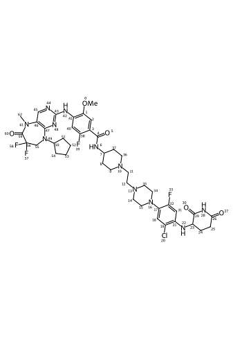 COc1cc(C(=O)NC2CCN(CCN3CCN(c4cc(Cl)c(NC5CCC(=O)NC5=O)cc4F)CC3)CC2)c(F)cc1Nc1ncc2c(n1)N(C1CCCC1)CC(F)(F)C(=O)N2C